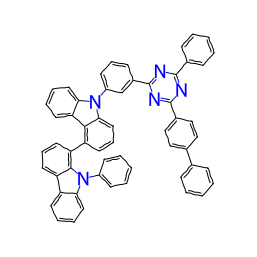 c1ccc(-c2ccc(-c3nc(-c4ccccc4)nc(-c4cccc(-n5c6ccccc6c6c(-c7cccc8c9ccccc9n(-c9ccccc9)c78)cccc65)c4)n3)cc2)cc1